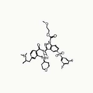 COCCOC(=O)n1nc(NC(=O)c2ccc(CC(C)N(C)C)cc2NC2CCOCC2)c2cc(S(=O)(=O)c3cc(F)cc(F)c3)ccc21